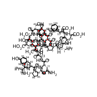 CC(C)C[C@H](NC(=O)[C@@H]1CCCN1C(=O)[C@H](Cc1ccccc1)NC(=O)[C@H](C)NC(=O)[C@H](CCC(=O)O)NC(=O)[C@H](C)NC(=O)[C@H](CO)NC(=O)[C@H](CCC(=O)O)NC(=O)[C@H](CC(=O)O)NC(=O)[C@H](CCC(=O)O)NC(=O)[C@H](C)NC(=O)CNC(=O)[C@H](CC(N)=O)NC(=O)[C@@H]1CCCN1C(=O)[C@H](Cc1ccc(O)cc1)NC(=O)[C@@H](N)C(C)C)C(=O)N[C@@H](CCC(=O)O)C(=O)N[C@@H](Cc1ccccc1)C(=O)O